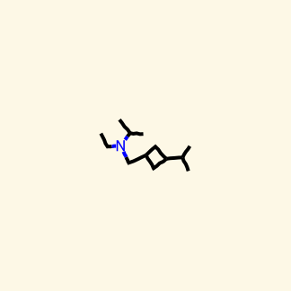 CCN(CC1CC(C(C)C)C1)C(C)C